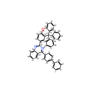 c1ccc(-c2ccc(-c3nc(-c4ccc5c(c4)C(c4ccccc4)(c4ccccc4)c4ccccc4O5)nc4ccccc34)cc2)cc1